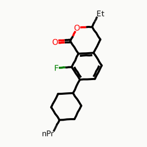 CCCC1CCC(c2ccc3c(c2F)C(=O)OC(CC)C3)CC1